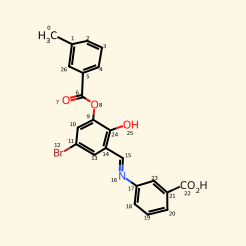 Cc1cccc(C(=O)Oc2cc(Br)cc(C=Nc3cccc(C(=O)O)c3)c2O)c1